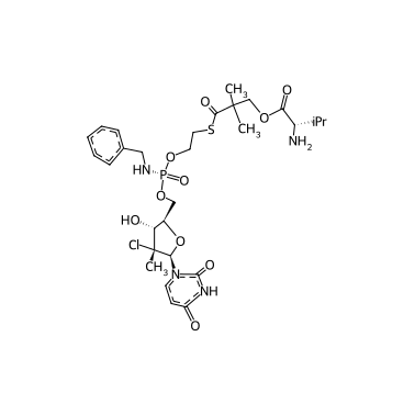 CC(C)[C@H](N)C(=O)OCC(C)(C)C(=O)SCCO[P@](=O)(NCc1ccccc1)OC[C@H]1O[C@@H](n2ccc(=O)[nH]c2=O)[C@](C)(Cl)[C@@H]1O